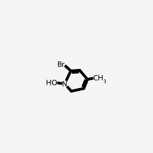 CC1=CCN(O)C(Br)=C1